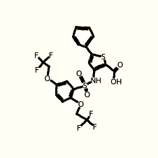 O=C(O)c1sc(-c2ccccc2)cc1NS(=O)(=O)c1cc(OCC(F)(F)F)ccc1OCC(F)(F)F